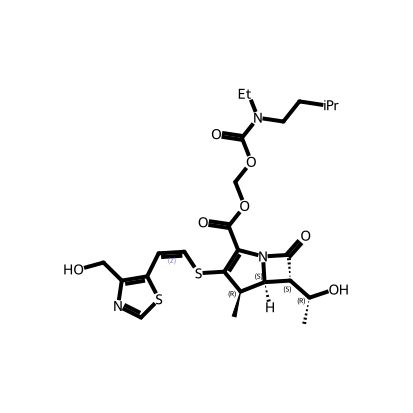 CCN(CCC(C)C)C(=O)OCOC(=O)C1=C(S/C=C\c2scnc2CO)[C@H](C)[C@@H]2[C@@H]([C@@H](C)O)C(=O)N12